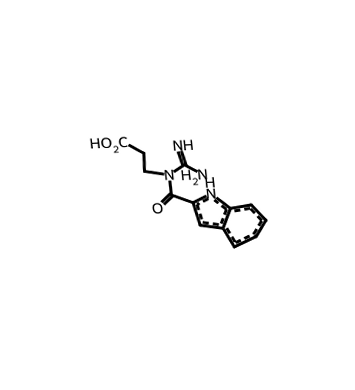 N=C(N)N(CCC(=O)O)C(=O)c1cc2ccccc2[nH]1